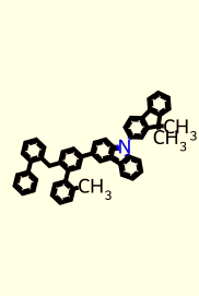 Cc1ccccc1-c1cc(-c2ccc3c(c2)c2ccccc2n3-c2ccc3c(c2)C(C)(C)c2ccccc2-3)ccc1Cc1ccccc1-c1ccccc1